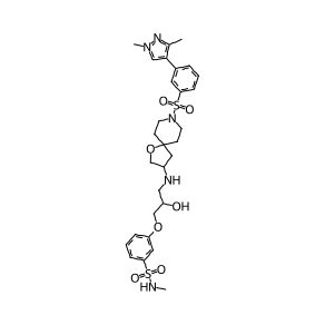 CNS(=O)(=O)c1cccc(OCC(O)CNC2COC3(CCN(S(=O)(=O)c4cccc(-c5cn(C)nc5C)c4)CC3)C2)c1